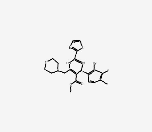 COC(=O)C1=C(CN2CCOCC2)NC(c2nccs2)=N[C@H]1c1ccc(F)c(F)c1Br